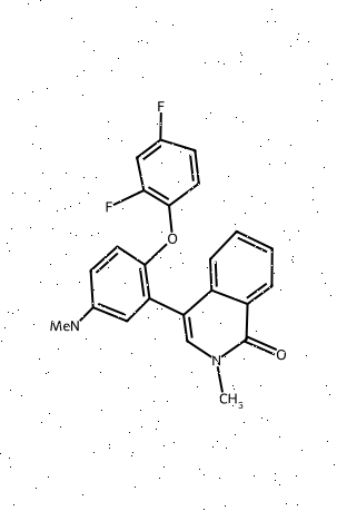 CNc1ccc(Oc2ccc(F)cc2F)c(-c2cn(C)c(=O)c3ccccc23)c1